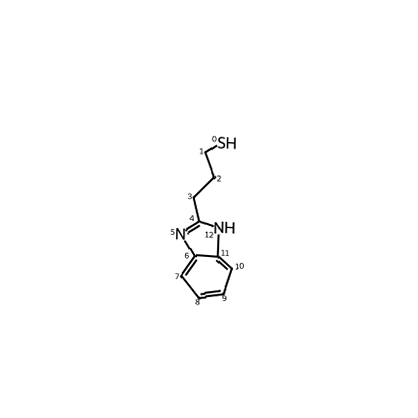 SCCCc1nc2ccccc2[nH]1